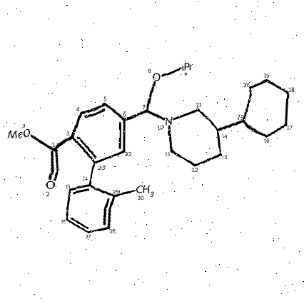 COC(=O)c1ccc(C(OC(C)C)N2CCCC(C3CCCCC3)C2)cc1-c1ccccc1C